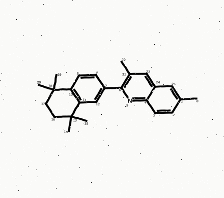 Cc1ccc2nc(-c3ccc4c(c3)C(C)(C)CCC4(C)C)c(C)cc2c1